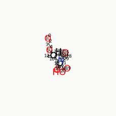 COCCCOc1cc2c(cc1C)-c1cc(=O)c(C(=O)O)cn1C1[C@@H]2COC1(C)C